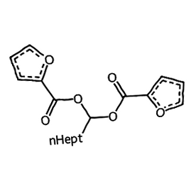 CCCCCCCC(OC(=O)c1ccco1)OC(=O)c1ccco1